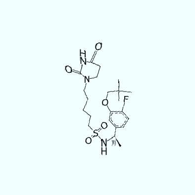 C[C@@H](NS(=O)(=O)CCCCCN1CCC(=O)NC1=O)c1ccc(F)c(OCC(C)(C)C)c1